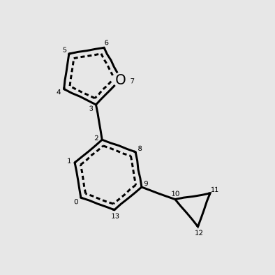 c1cc(-c2ccco2)cc(C2CC2)c1